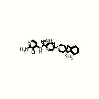 Nc1nccc(Nc2n[nH]c3nc(N4CCC5(CC4)Cc4ccccc4[C@@H]5N)cnc23)c1Cl